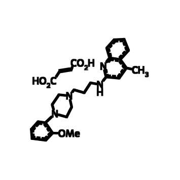 COc1ccccc1N1CCN(CCCNc2cc(C)c3ccccc3n2)CC1.O=C(O)C=CC(=O)O